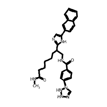 CNC(=O)CCCCCC(CNC(=O)c1ccc(N2C=NNN2)cc1)c1ncc(-c2ccc3ccccc3c2)[nH]1